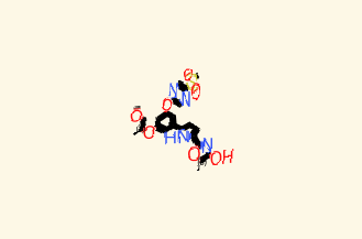 COC[C@H](C)Oc1cc(Oc2cnc(S(C)(=O)=O)cn2)cc(-c2ccc(C3=NC(O)[C@H](C)O3)[nH]2)c1